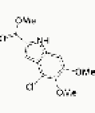 COC(=O)c1cc2c(Cl)c(OC)c(OC)cc2[nH]1